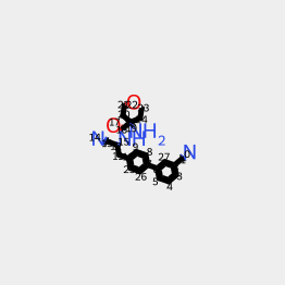 N#Cc1cccc(-c2ccc(CC(C#N)NC(=O)C3(N)CCOCC3)cc2)c1